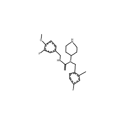 C=C(NCc1ccc(OC)c(F)c1)N(Cc1ccc(F)cc1C)C1CCNCC1